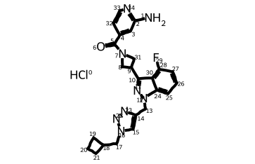 Cl.Nc1cc(C(=O)N2CC(c3nn(Cc4cn(CC5CCC5)nn4)c4cccc(F)c34)C2)ccn1